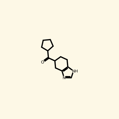 O=C(C1CCCC1)C1CCc2[nH]cnc2C1